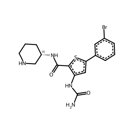 NC(=O)Nc1cc(-c2cccc(Br)c2)sc1C(=O)N[C@H]1CCCNC1